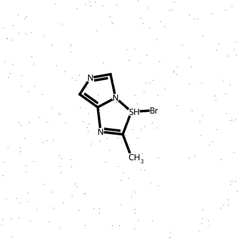 CC1=Nc2cncn2[SH]1Br